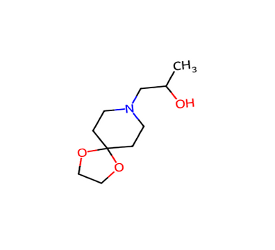 CC(O)CN1CCC2(CC1)OCCO2